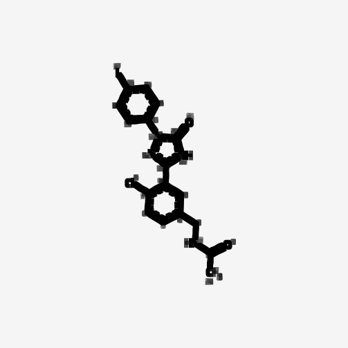 O=C(NCc1ccc(Cl)c(-c2nn(-c3ccc(I)cc3)c(=O)[nH]2)c1)C(F)(F)F